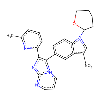 Cc1cccc(-c2nc3ncccn3c2-c2ccc3c(c2)c([N+](=O)[O-])cn3C2CCCCO2)n1